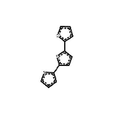 c1coc(-c2ccc(-c3cccs3)s2)c1